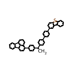 C=C(c1ccc(-c2ccc(-c3ccc4sc5ccccc5c4c3)cc2)cc1)c1ccc(-c2ccc3c4c(cccc24)-c2ccccc2-3)cc1